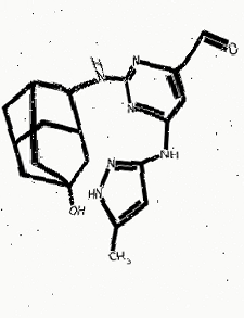 Cc1cc(Nc2cc(C=O)nc(NC3C4CC5CC3CC(O)(C5)C4)n2)n[nH]1